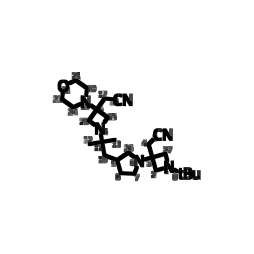 CC(C)(C)N1CC(CC#N)(N2CCC(CC(C)(C)N3CC(CC#N)(N4CCOCC4)C3)C2)C1